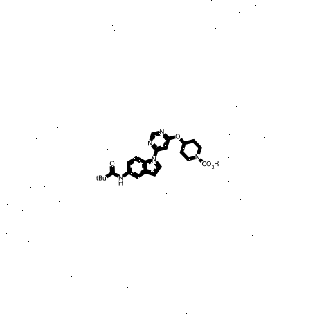 CC(C)(C)C(=O)Nc1ccc2c(ccn2-c2cc(OC3CCN(C(=O)O)CC3)ncn2)c1